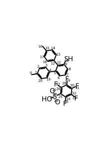 Cc1ccc(-c2cccc(S)c2-c2ccc(C)cc2)cc1.O=S(=O)(O)c1c(F)c(F)c(F)c(F)c1F